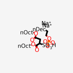 CCCCCCCCCCCCOP(=O)([O-])[O-].CCCCCCCCOC(=O)CC(C(=O)OCCCCCCCC)S(=O)(=O)O.[Na+].[Na+]